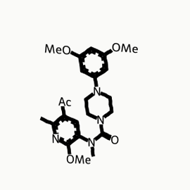 COc1cc(OC)cc(N2CCN(C(=O)N(C)c3cc(C(C)=O)c(C)nc3OC)CC2)c1